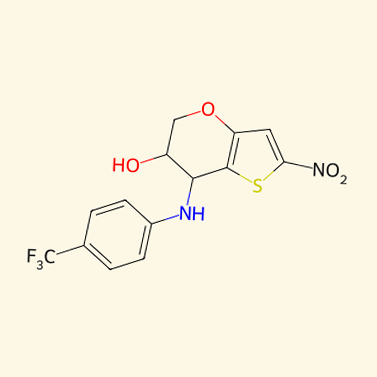 O=[N+]([O-])c1cc2c(s1)C(Nc1ccc(C(F)(F)F)cc1)C(O)CO2